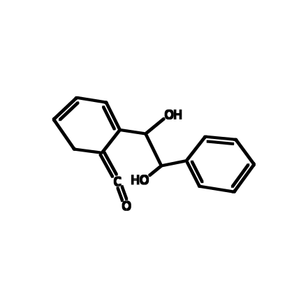 O=C=C1CC=CC=C1C(O)C(O)c1ccccc1